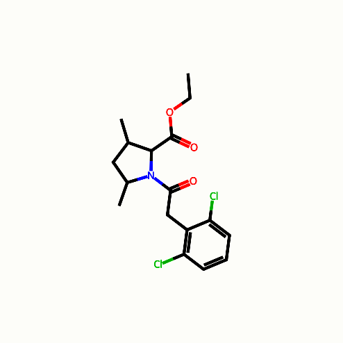 CCOC(=O)C1C(C)CC(C)N1C(=O)Cc1c(Cl)cccc1Cl